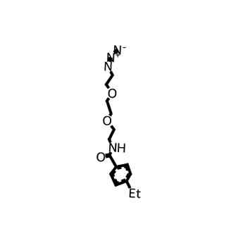 CCc1ccc(C(=O)NCCOCCOCCN=[N+]=[N-])cc1